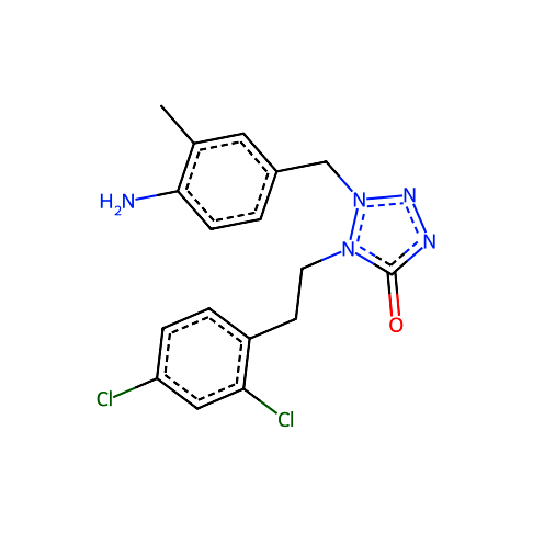 Cc1cc(Cn2nnc(=O)n2CCc2ccc(Cl)cc2Cl)ccc1N